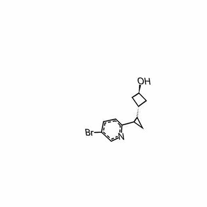 O[C@H]1C[C@H](C2CC2c2ccc(Br)cn2)C1